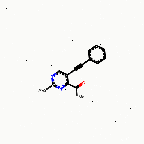 COC(=O)c1nc(SC)ncc1C#Cc1ccccc1